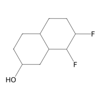 OC1CCC2CCC(F)C(F)C2C1